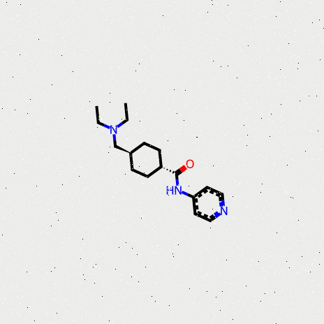 CCN(CC)C[C@H]1CC[C@H](C(=O)Nc2ccncc2)CC1